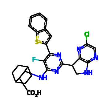 O=C(O)C1C2CCC(CC2)C1Nc1nc(C2CNc3ncc(Cl)nc32)nc(-c2cc3ccccc3s2)c1F